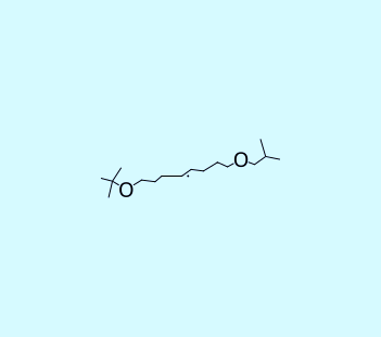 CC(C)COCCCC[CH]CCCOC(C)(C)C